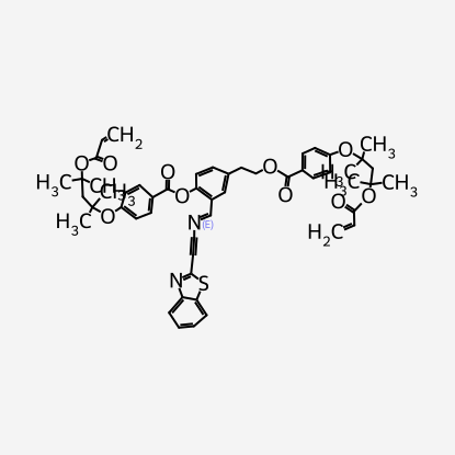 C=CC(=O)OC(C)(C)CC(C)(C)Oc1ccc(C(=O)OCCc2ccc(OC(=O)c3ccc(OC(C)(C)CC(C)(C)OC(=O)C=C)cc3)c(/C=N/C#Cc3nc4ccccc4s3)c2)cc1